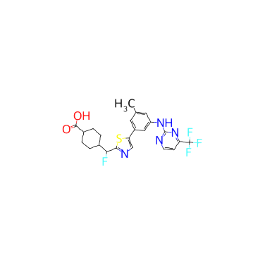 Cc1cc(Nc2nccc(C(F)(F)F)n2)cc(-c2cnc(C(F)C3CCC(C(=O)O)CC3)s2)c1